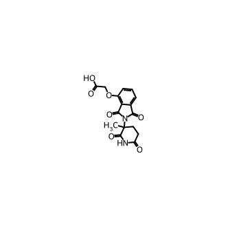 CC1(N2C(=O)c3cccc(OCC(=O)O)c3C2=O)CCC(=O)NC1=O